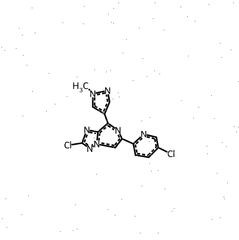 Cn1cc(-c2nc(-c3ccc(Cl)cn3)cn3nc(Cl)nc23)cn1